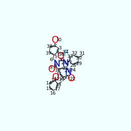 COc1ccc(Cn2c(=O)c3c(Oc4ccccc4C)cc(=O)n(C)c3n(-c3ccc(C)cc3F)c2=O)cc1